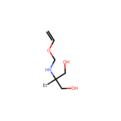 C=COCNC(CC)(CO)CO